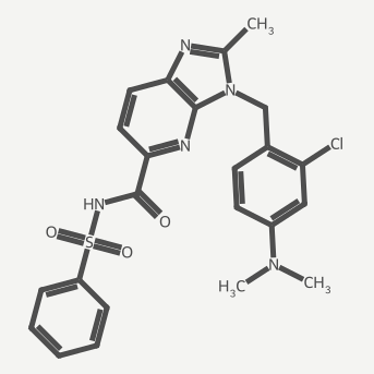 Cc1nc2ccc(C(=O)NS(=O)(=O)c3ccccc3)nc2n1Cc1ccc(N(C)C)cc1Cl